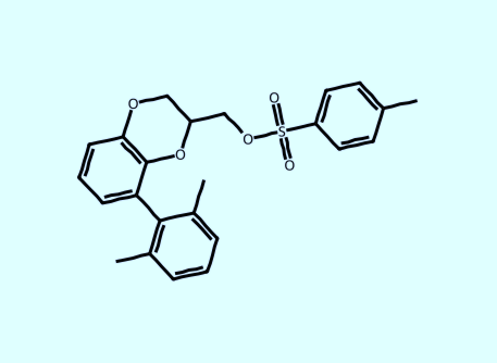 Cc1ccc(S(=O)(=O)OCC2COc3cccc(-c4c(C)cccc4C)c3O2)cc1